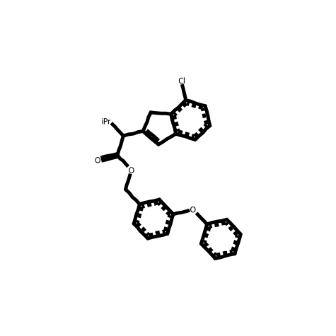 CC(C)C(C(=O)OCc1cccc(Oc2ccccc2)c1)C1=Cc2cccc(Cl)c2C1